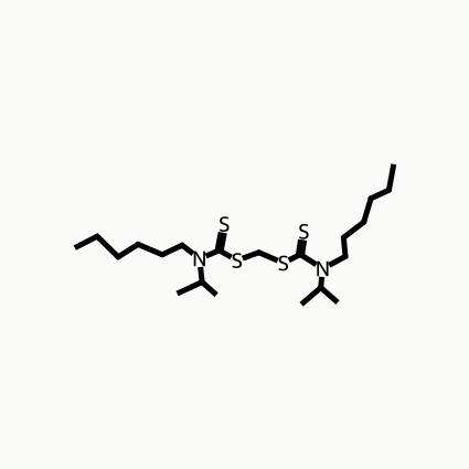 CCCCCCN(C(=S)SCSC(=S)N(CCCCCC)C(C)C)C(C)C